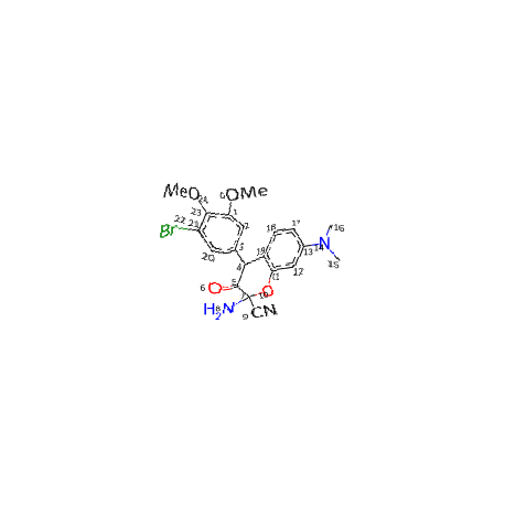 COc1cc(C2C(=O)C(N)(C#N)Oc3cc(N(C)C)ccc32)cc(Br)c1OC